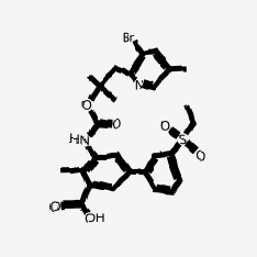 CCS(=O)(=O)c1cccc(-c2cc(NC(=O)OC(C)(C)Cc3ncc(C)cc3Br)c(C)c(C(=O)O)c2)c1